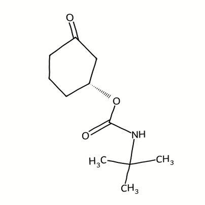 CC(C)(C)NC(=O)O[C@@H]1CCCC(=O)C1